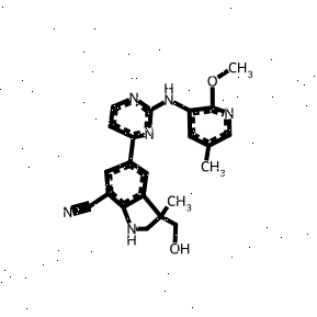 COc1ncc(C)cc1Nc1nccc(-c2cc(C#N)c3c(c2)C(C)(CO)CN3)n1